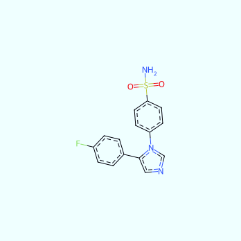 NS(=O)(=O)c1ccc(-n2cncc2-c2ccc(F)cc2)cc1